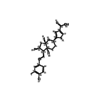 Cc1cc(OC[C@@H]2[C@H]3CC[C@H](c4nc(C(=O)O)cs4)O[C@H]3C[C@@H]2F)ccc1Cl